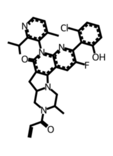 C=CC(=O)N1CC2Cc3c(c4cc(F)c(-c5c(O)cccc5Cl)nc4n(-c4c(C)ccnc4C(C)C)c3=O)N2CC1C